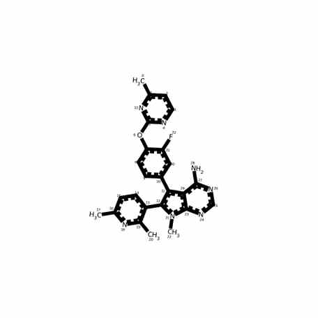 Cc1ccnc(Oc2ccc(-c3c(-c4ccc(C)nc4C)n(C)c4ncnc(N)c34)cc2F)n1